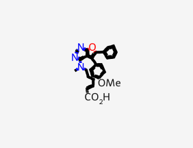 COc1ccc(-c2c(-c3ccccc3)oc3ncnc(N(C)CCC/C=C/C(=O)O)c23)cc1